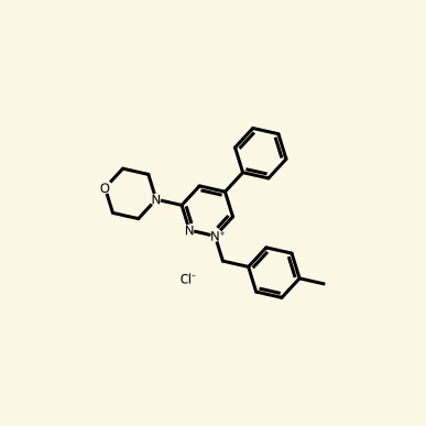 Cc1ccc(C[n+]2cc(-c3ccccc3)cc(N3CCOCC3)n2)cc1.[Cl-]